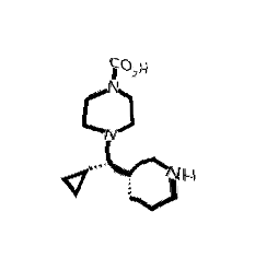 O=C(O)N1CCN([C@@H](C2CC2)[C@H]2CCCNC2)CC1